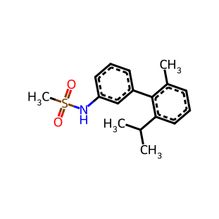 Cc1cccc(C(C)C)c1-c1cccc(NS(C)(=O)=O)c1